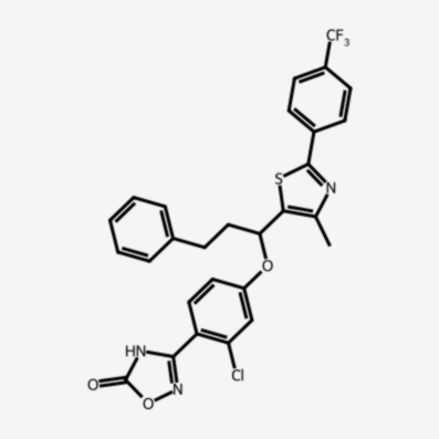 Cc1nc(-c2ccc(C(F)(F)F)cc2)sc1C(CCc1ccccc1)Oc1ccc(-c2noc(=O)[nH]2)c(Cl)c1